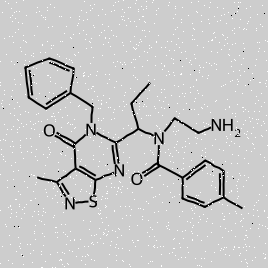 CCC(c1nc2snc(C)c2c(=O)n1Cc1ccccc1)N(CCN)C(=O)c1ccc(C)cc1